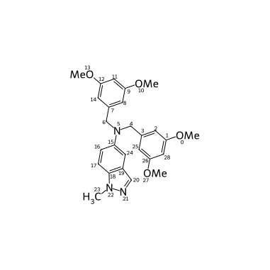 COc1cc(CN(Cc2cc(OC)cc(OC)c2)c2ccc3c(cnn3C)c2)cc(OC)c1